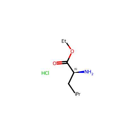 CCOC(=O)[C@@H](N)CC(C)C.Cl